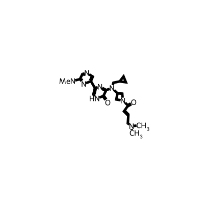 CNc1cncc(-c2c[nH]c(=O)c(N(CC3CC3)C3CN(C(=O)/C=C/CN(C)C)C3)n2)n1